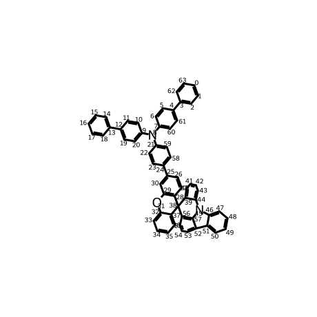 c1ccc(-c2ccc(N(c3ccc(-c4ccccc4)cc3)c3ccc(-c4ccc5c(c4)Oc4ccccc4C54c5ccccc5-n5c6ccccc6c6cccc4c65)cc3)cc2)cc1